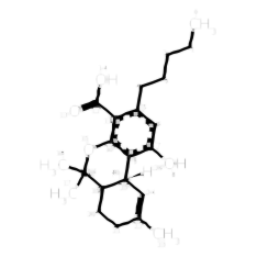 CCCCCc1cc(O)c2c(c1C(=O)O)OC(C)(C)C1CCC(C)=C[C@@H]21